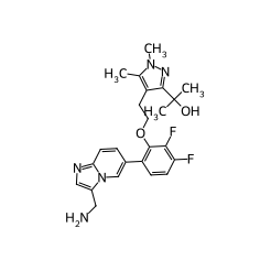 Cc1c(CCOc2c(-c3ccc4ncc(CN)n4c3)ccc(F)c2F)c(C(C)(C)O)nn1C